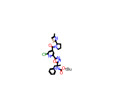 Cc1csc(C2CCCN2C(=O)c2cc(Cl)nc(-c3nnc(C(C)(Cc4ccccc4)NC(=O)OC(C)(C)C)o3)c2)n1